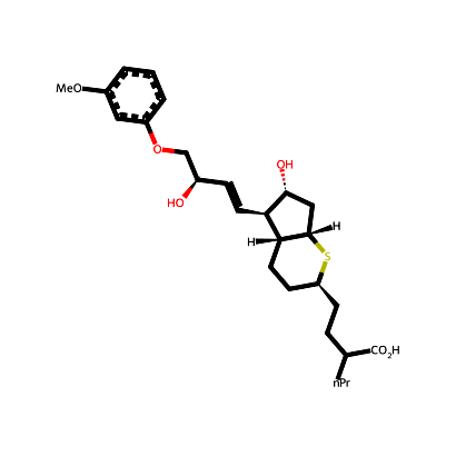 CCCC(CC[C@H]1CC[C@@H]2[C@@H](/C=C/[C@@H](O)COc3cccc(OC)c3)[C@H](O)C[C@@H]2S1)C(=O)O